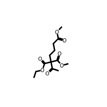 CCOC(=O)C(CCCC(=O)OC)(C(C)=O)C(=O)OC